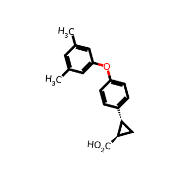 Cc1cc(C)cc(Oc2ccc([C@@H]3C[C@H]3C(=O)O)cc2)c1